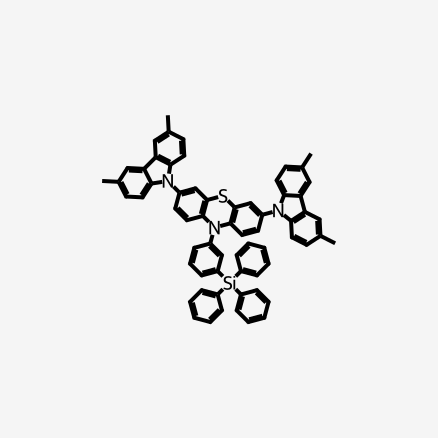 Cc1ccc2c(c1)c1cc(C)ccc1n2-c1ccc2c(c1)Sc1cc(-n3c4ccc(C)cc4c4cc(C)ccc43)ccc1N2c1cccc([Si](c2ccccc2)(c2ccccc2)c2ccccc2)c1